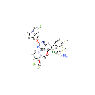 N#Cc1c(N)sc2c(F)ccc(-c3c(Cl)c4c5c(nc(OCC67CCCN6C[C@H](F)C7)nc5c3F)N3CCCC(OC(F)F)C3CO4)c12